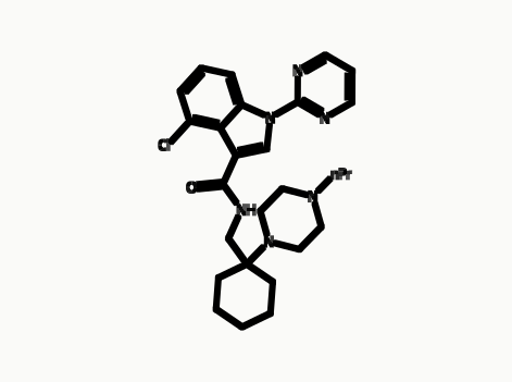 CCCN1CCN(C2(CNC(=O)c3cn(-c4ncccn4)c4cccc(Cl)c34)CCCCC2)CC1